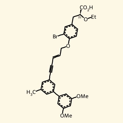 CCO[C@@H](Cc1ccc(OCC=CC#Cc2cc(C)cc(-c3cc(OC)cc(OC)c3)c2)c(Br)c1)C(=O)O